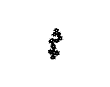 c1ccc(-c2ccccc2-c2cccc3c2sc2c(-c4ccc5c(c4)c4ccccc4n5-c4ccc(-c5c6ccccc6c(-c6ccccc6)c6ccccc56)cc4)cccc23)cc1